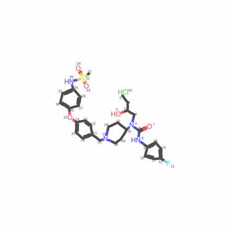 CCC(O)CN(C(=O)Nc1ccc(F)cc1)C1CCN(Cc2ccc(Oc3ccc(NS(C)(=O)=O)cc3)cc2)CC1.Cl